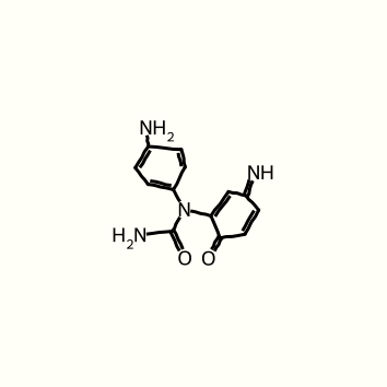 N=C1C=CC(=O)C(N(C(N)=O)c2ccc(N)cc2)=C1